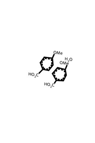 COc1ccc(C(=O)O)cc1.COc1ccc(C(=O)O)cc1.O